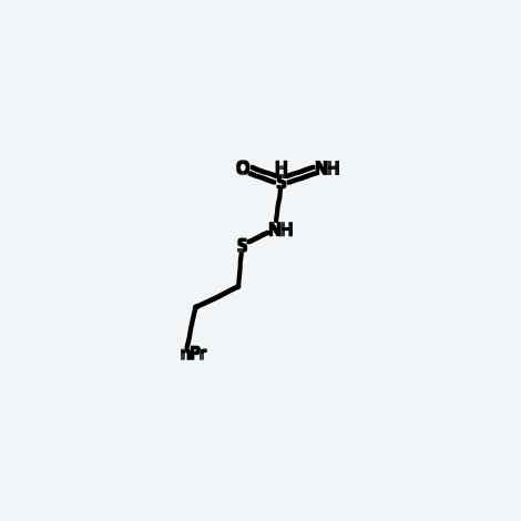 CCCCCSN[SH](=N)=O